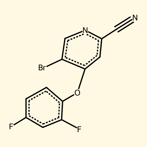 N#Cc1cc(Oc2ccc(F)cc2F)c(Br)cn1